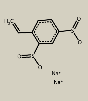 C=Cc1ccc(S(=O)[O-])cc1S(=O)[O-].[Na+].[Na+]